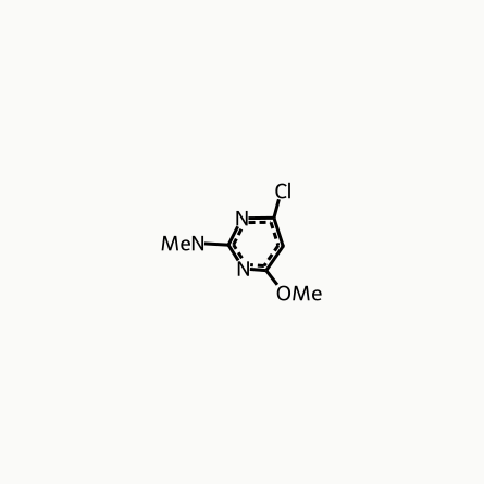 CNc1nc(Cl)cc(OC)n1